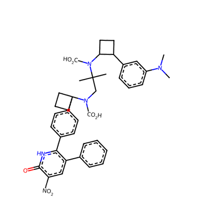 CN(C)c1cccc(C2CCC2N(C(=O)O)C(C)(C)CN(C(=O)O)C2(c3ccc(-c4[nH]c(=O)c([N+](=O)[O-])cc4-c4ccccc4)cc3)CCC2)c1